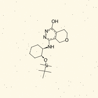 CC(C)(C)[Si](C)(C)O[C@H]1CCCC[C@H]1Nc1nnc(O)c2c1COCC2